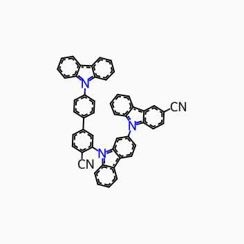 N#Cc1ccc2c(c1)c1ccccc1n2-c1ccc2c3ccccc3n(-c3cc(-c4ccc(-n5c6ccccc6c6ccccc65)cc4)ccc3C#N)c2c1